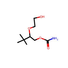 CC(C)(C)C(COC(N)=O)OCCO